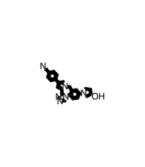 N#Cc1ccc(-c2cc3n(c2)Cc2cc(N4CCC(O)C4)ccc2-n2cnnc2-3)cc1